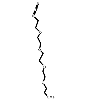 COCCOCCOCCOCCOCCN=[N+]=[N-]